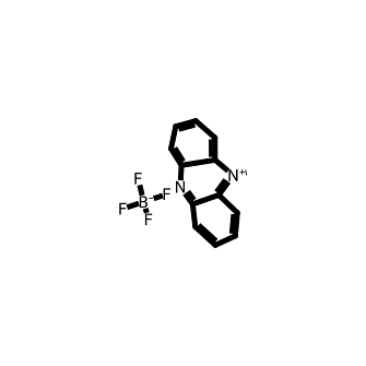 C[n+]1c2ccccc2nc2ccccc21.F[B-](F)(F)F